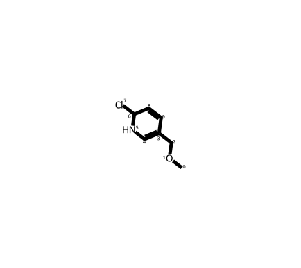 COCC1=CNC(Cl)C=C1